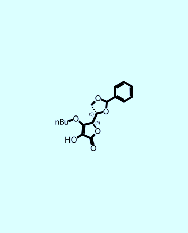 CCCCOC1=C(O)C(=O)O[C@@H]1[C@@H]1COC(c2ccccc2)O1